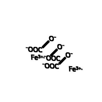 O=C([O-])[O-].O=C([O-])[O-].O=C([O-])[O-].[Fe+3].[Fe+3]